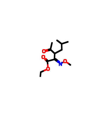 CCOC(=O)C(=NOC)C(CC(C)C)C(C)=O